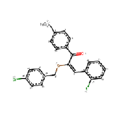 O=C(O)c1ccc(C(=O)/C(=C\c2ccccc2F)SCc2ccc(Br)cc2)cc1